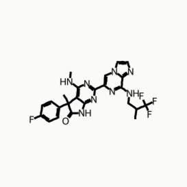 CNc1nc(-c2cn3ccnc3c(NCC(C)C(F)(F)F)n2)nc2c1C(C)(c1ccc(F)cc1)C(=O)N2